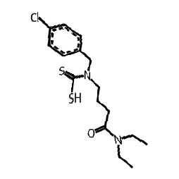 CCN(CC)C(=O)CCCN(Cc1ccc(Cl)cc1)C(=S)S